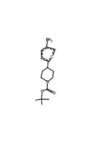 Bc1ccc(C2CCN(C(=O)OC(C)(C)C)CC2)cc1